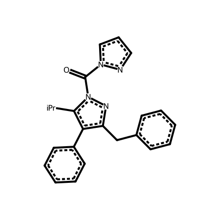 CC(C)c1c(-c2ccccc2)c(Cc2ccccc2)nn1C(=O)n1cccn1